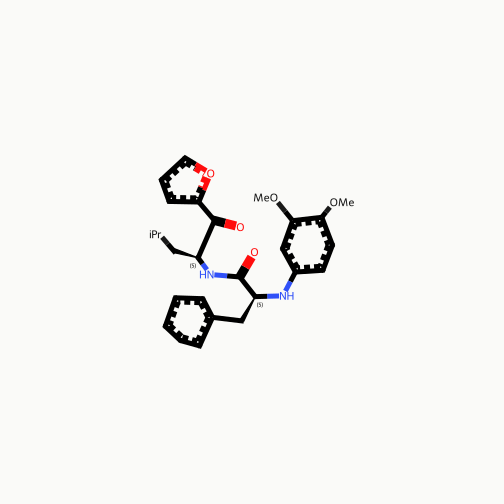 COc1ccc(N[C@@H](Cc2ccccc2)C(=O)N[C@@H](CC(C)C)C(=O)c2ccco2)cc1OC